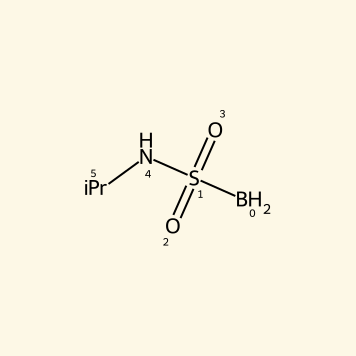 BS(=O)(=O)NC(C)C